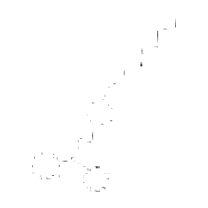 CCCCC=CCCOC1CCC(CO[Si](c2ccccc2)c2ccccc2)CC1